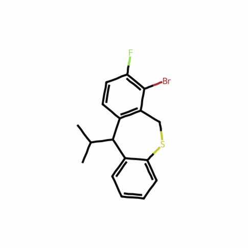 CC(C)C1c2ccccc2SCc2c1ccc(F)c2Br